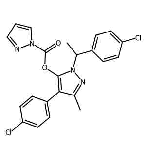 Cc1nn(C(C)c2ccc(Cl)cc2)c(OC(=O)n2cccn2)c1-c1ccc(Cl)cc1